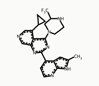 Cc1cc2c(-c3nc(N4CCNC(C(F)(F)F)C4)c4c(C5CC5)cncc4n3)ccnc2[nH]1